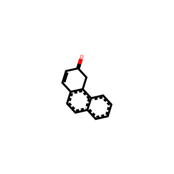 O=C1C=Cc2ccc3ccccc3c2C1